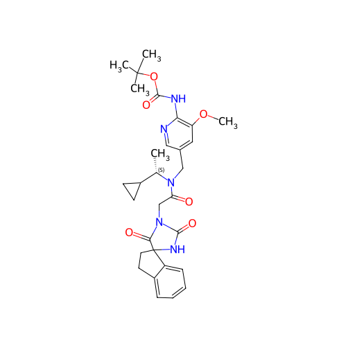 COc1cc(CN(C(=O)CN2C(=O)NC3(CCc4ccccc43)C2=O)[C@@H](C)C2CC2)cnc1NC(=O)OC(C)(C)C